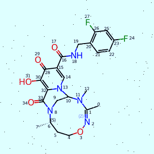 C/C1=N/OCC[C@H](C)N2CC(N1C)n1cc(C(=O)NCc3ccc(F)cc3F)c(=O)c(O)c1C2=O